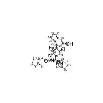 CN1CCCC[C@H]1COc1nc(N2CC3CCC(C2)N3)c2cc(Cl)c(C3(C)CC(O)=Cc4ccccc43)c(F)c2n1